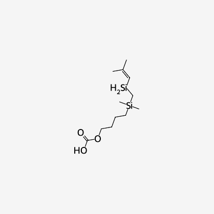 CC(C)=C[SiH2]C[Si](C)(C)CCCCOC(=O)O